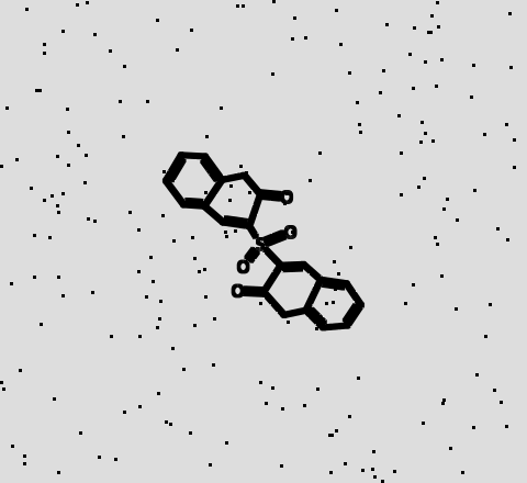 O=C1Cc2ccccc2C=C1S(=O)(=O)C1=Cc2ccccc2CC1=O